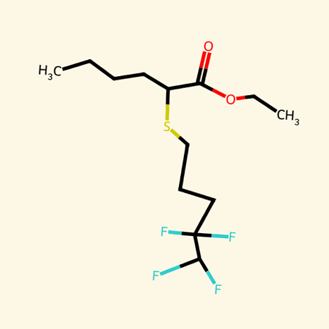 CCCCC(SCCCC(F)(F)C(F)F)C(=O)OCC